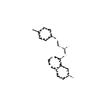 CC(CSc1ccc(I)cc1)Nc1ncnc2ccc(Br)cc12